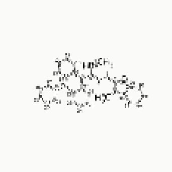 C=c1/c(=C\C=C(/BC)c2c3ccccc3c(-c3ccccc3)c3ccccc23)oc2ccccc12